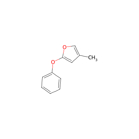 Cc1coc(Oc2ccccc2)c1